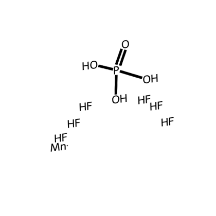 F.F.F.F.F.F.O=P(O)(O)O.[Mn]